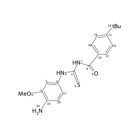 COc1cc(NC(=S)NC(=O)c2ccc(C(C)(C)C)cc2)ccc1N